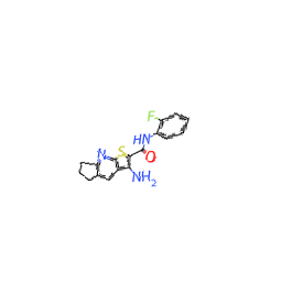 Nc1c(C(=O)Nc2ccccc2F)sc2nc3c(cc12)CCC3